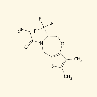 BCC(=O)N1Cc2sc(C)c(C)c2OC[C@H]1C(F)(F)F